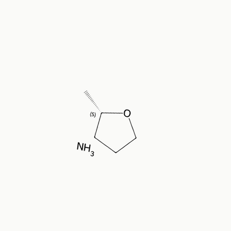 C[C@H]1CCCO1.N